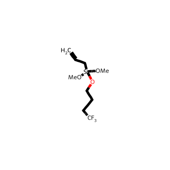 C=CC[Si](OC)(OC)OCCCC(F)(F)F